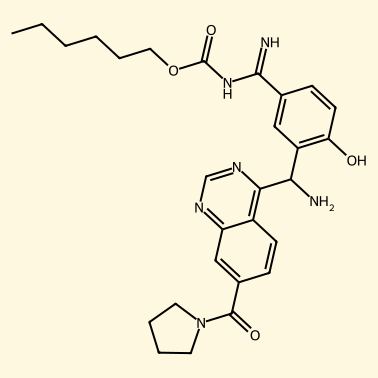 CCCCCCOC(=O)NC(=N)c1ccc(O)c(C(N)c2ncnc3cc(C(=O)N4CCCC4)ccc23)c1